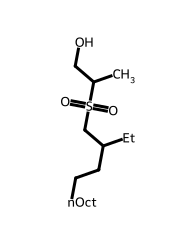 CCCCCCCCCCC(CC)CS(=O)(=O)C(C)CO